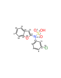 O=S(=O)(O)N(c1cc[c]c(Cl)c1)c1cc2ccccc2o1